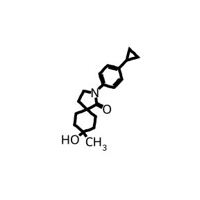 CC1(O)CCC2(CCN(c3ccc(C4CC4)cc3)C2=O)CC1